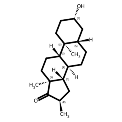 C[C@@H]1C[C@H]2[C@@H]3CC[C@H]4C[C@@H](O)CC[C@]4(C)[C@H]3CC[C@]2(C)C1=O